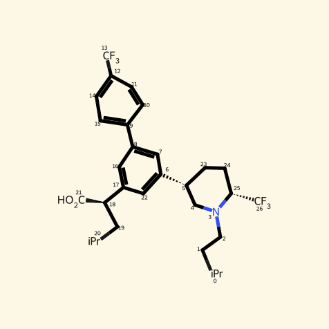 CC(C)CCN1C[C@H](c2cc(-c3ccc(C(F)(F)F)cc3)cc([C@@H](CC(C)C)C(=O)O)c2)CC[C@@H]1C(F)(F)F